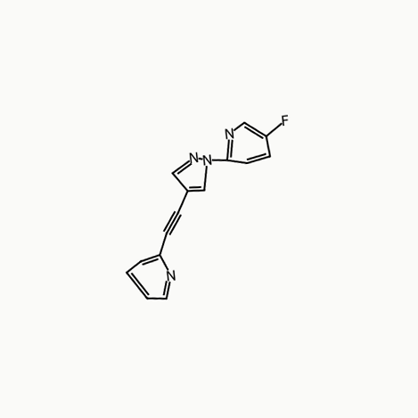 Fc1ccc(-n2cc(C#Cc3ccccn3)cn2)nc1